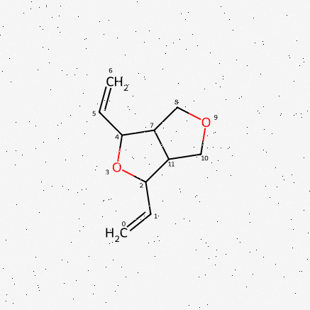 C=CC1OC(C=C)C2COCC12